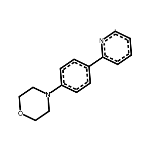 [c]1cccc(-c2ccc(N3CCOCC3)cc2)n1